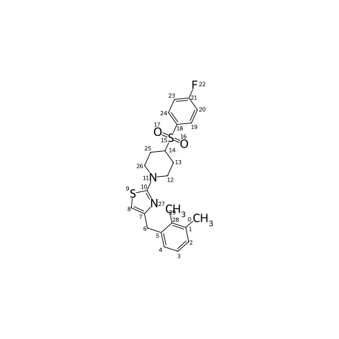 Cc1cccc(Cc2csc(N3CCC(S(=O)(=O)c4ccc(F)cc4)CC3)n2)c1C